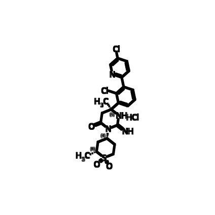 C[C@@H]1C[C@H](N2C(=N)N[C@](C)(c3cccc(-c4ccc(Cl)cn4)c3Cl)CC2=O)CCS1(=O)=O.Cl